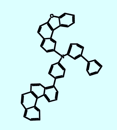 c1ccc(-c2cccc(N(c3ccc(-c4cccc5c4ccc4ccc6ccccc6c45)cc3)c3ccc4ccc5oc6ccccc6c5c4c3)c2)cc1